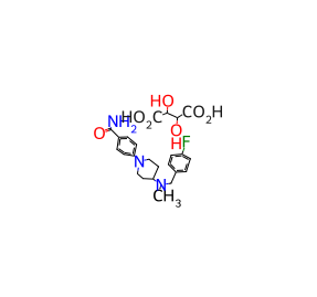 CN(Cc1ccc(F)cc1)C1CCN(c2ccc(C(N)=O)cc2)CC1.O=C(O)C(O)C(O)C(=O)O